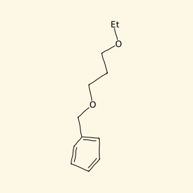 CCOCCCOCc1ccccc1